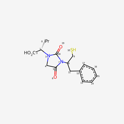 CC(C)[C@@H](C(=O)O)N1CC(=O)N(C(CS)Cc2ccccc2)C1=O